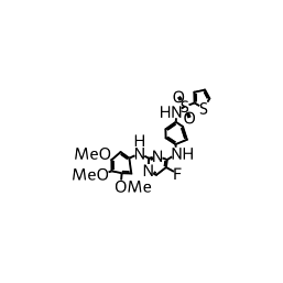 COc1cc(Nc2ncc(F)c(Nc3ccc(NS(=O)(=O)c4cccs4)cc3)n2)cc(OC)c1OC